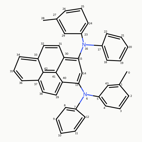 Cc1cccc(N(c2ccccc2)c2cc(N(c3ccccc3)c3cccc(C)c3)c3ccc4cccc5ccc2c3c54)c1